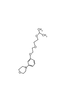 CC(C)OCCOCCOc1cccc(N2CCOCC2)c1